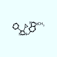 Cn1cnc2cc(Cn3cnc(-c4ccccc4)c3C3CC3)ccc21